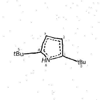 CC(C)(C)c1ccc(C(C)(C)C)[nH]1